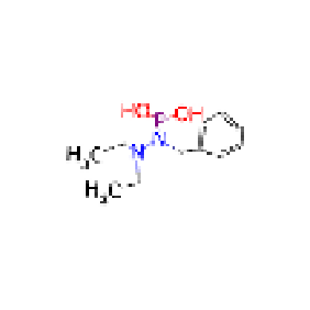 CCN(CC)N(Cc1ccccc1)P(O)O